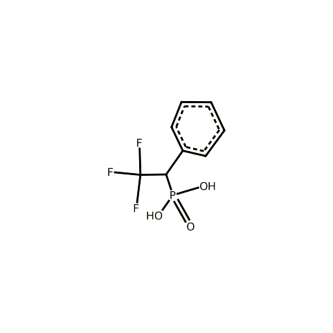 O=P(O)(O)C(c1ccccc1)C(F)(F)F